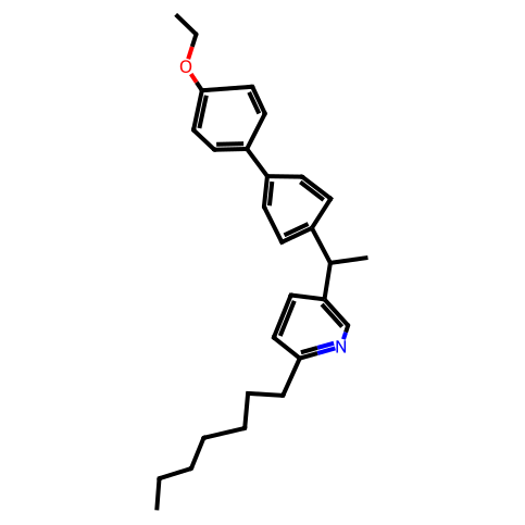 CCCCCCCc1ccc(C(C)c2ccc(-c3ccc(OCC)cc3)cc2)cn1